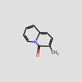 Cc1ccc2ccccn2c1=O